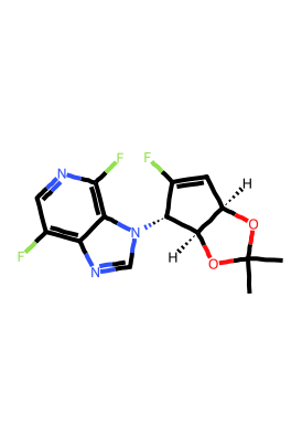 CC1(C)O[C@H]2[C@H](n3cnc4c(F)cnc(F)c43)C(F)=C[C@H]2O1